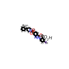 N#CC1(c2ccccc2)CCN(S(=O)(=O)c2ccc(C(=O)Nc3ccc(I)cc3C(=O)O)cc2)CC1